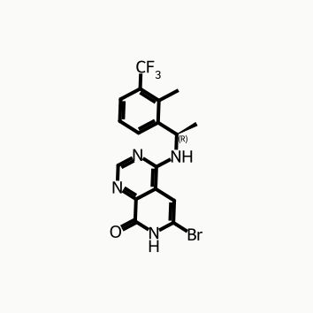 Cc1c([C@@H](C)Nc2ncnc3c(=O)[nH]c(Br)cc23)cccc1C(F)(F)F